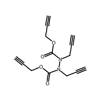 C#CCOC(=O)N(CC#C)N(CC#C)C(=O)OCC#C